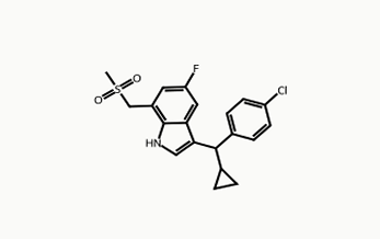 CS(=O)(=O)Cc1cc(F)cc2c(C(c3ccc(Cl)cc3)C3CC3)c[nH]c12